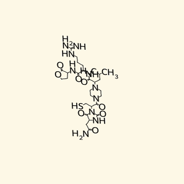 CC(C)CC(C(=O)NC(CCCNC(=N)N)C(=O)NC1CCOC1=O)N1CCN(C(=O)C(CS)N2C(=O)NC(CC(N)=O)C2=O)CC1